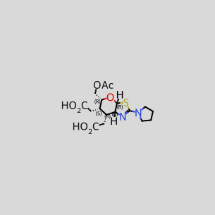 CC(=O)OC[C@@H]1O[C@@H]2SC(N3CCCC3)=N[C@@H]2[C@H](CC(=O)O)[C@@H]1CC(=O)O